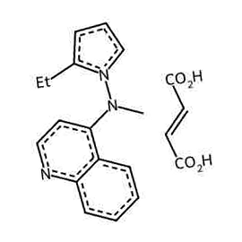 CCc1cccn1N(C)c1ccnc2ccccc12.O=C(O)C=CC(=O)O